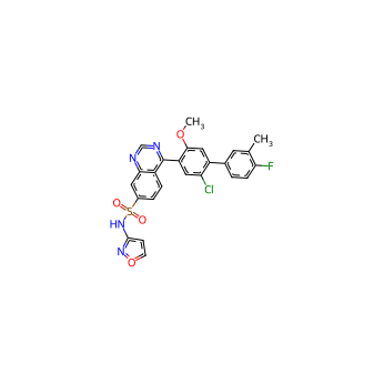 COc1cc(-c2ccc(F)c(C)c2)c(Cl)cc1-c1ncnc2cc(S(=O)(=O)Nc3ccon3)ccc12